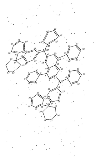 c1ccc(-c2cc(N(c3ccccc3)c3ccc(C4(c5ccccc5)CCCCC4)cc3)cc3c(-c4ccccc4)cc(N(c4ccccc4)c4ccc(C5(c6ccccc6)CCCCC5)cc4)cc23)cc1